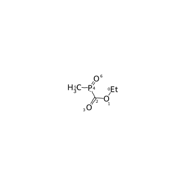 CCOC(=O)[P](C)=O